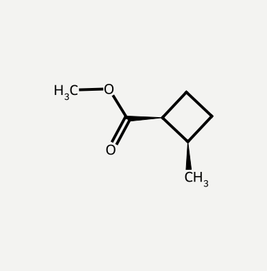 COC(=O)[C@H]1CC[C@H]1C